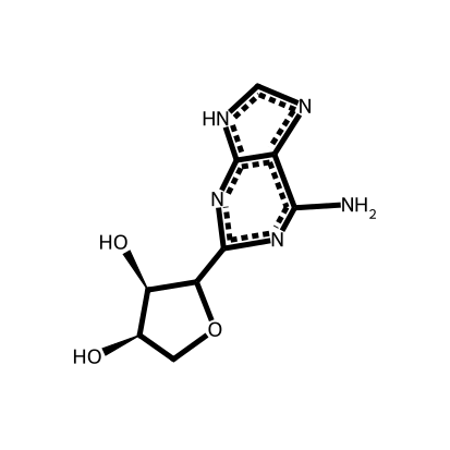 Nc1nc(C2OC[C@@H](O)[C@H]2O)nc2[nH]cnc12